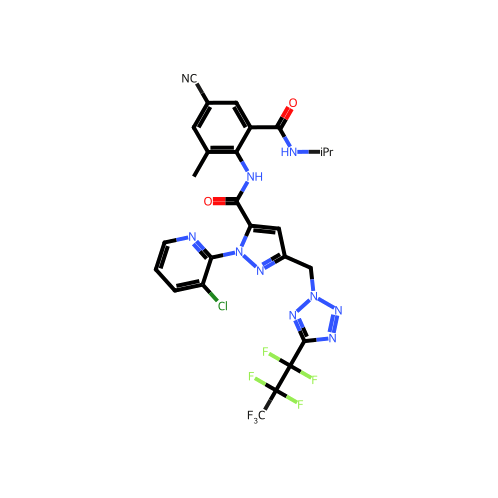 Cc1cc(C#N)cc(C(=O)NC(C)C)c1NC(=O)c1cc(Cn2nnc(C(F)(F)C(F)(F)C(F)(F)F)n2)nn1-c1ncccc1Cl